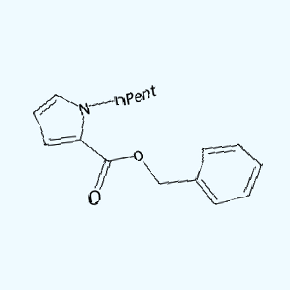 CCCCCn1cccc1C(=O)OCc1ccccc1